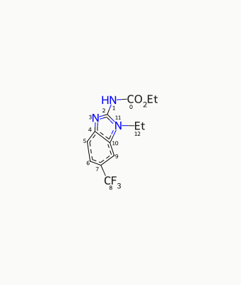 CCOC(=O)Nc1nc2ccc(C(F)(F)F)cc2n1CC